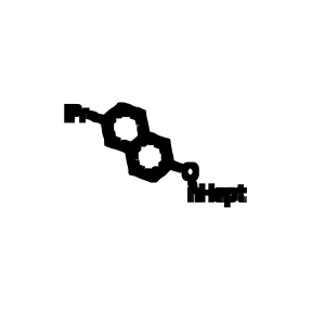 CCCCCCCOc1ccc2cc(C(C)C)ccc2c1